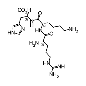 N=C(N)NCCC[C@H](N)C(=O)N[C@@H](CCCCN)C(=O)N[C@@H](Cc1c[nH]cn1)C(=O)O